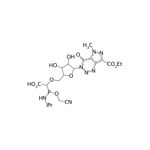 CCOC(=O)c1nn(C)c2c(=O)n(C3OC(COC(C(=O)O)P(NC(C)C)OCC#N)C(O)C3O)nnc12